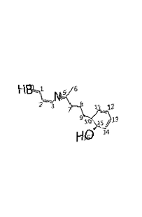 B=C/C=C\N=C(\C)CCC[C@H]1C=CC=C[C@H]1O